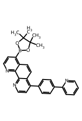 CC1(C)OB(c2ccnc3c2ccc2c(-c4ccc(-c5ccccn5)cc4)ccnc23)OC1(C)C